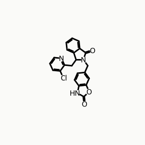 O=C1c2ccccc2C(Cc2ncccc2Cl)N1Cc1ccc2[nH]c(=O)oc2c1